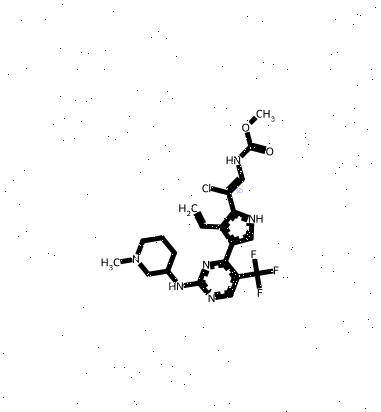 C=Cc1c(-c2nc(NC3CCCN(C)C3)ncc2C(F)(F)F)c[nH]c1/C(Cl)=C/NC(=O)OC